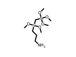 CO[Si](CCCN)(C[Si](OC)(OC)OC)OC